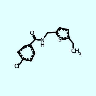 CCc1ccc(CNC(=O)c2ccc(Cl)cc2)s1